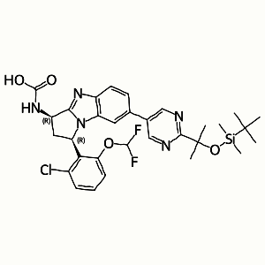 CC(C)(O[Si](C)(C)C(C)(C)C)c1ncc(-c2ccc3nc4n(c3c2)[C@@H](c2c(Cl)cccc2OC(F)F)C[C@H]4NC(=O)O)cn1